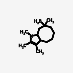 BC1(C)CCCCC2C(C)=C(C)N(C)C2C1